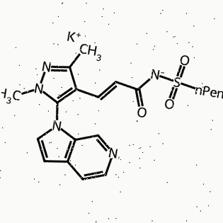 CCCCCS(=O)(=O)[N-]C(=O)/C=C/c1c(C)nn(C)c1-n1ccc2ccncc21.[K+]